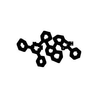 c1ccc(-c2cc(-c3ccccc3)nc(-c3ccccc3-c3ccc4ccccc4c3-c3cccc4c3OC(c3ccccc3)N4)n2)cc1